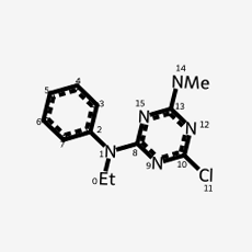 CCN(c1ccccc1)c1nc(Cl)nc(NC)n1